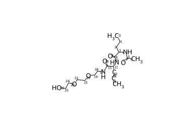 CCCC(NC(C)=O)C(=O)NC(CCC)C(=O)NCCOCCOCCO